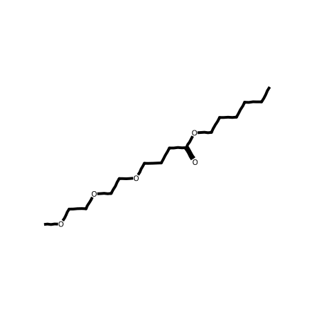 CCCCCCOC(=O)CCCOCCOCCOC